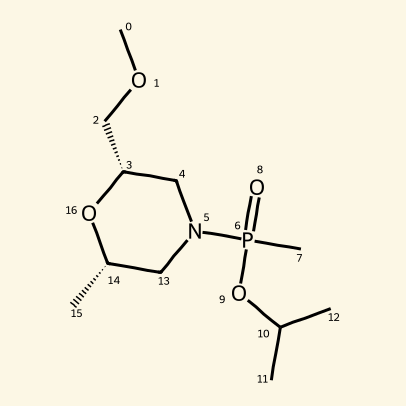 COC[C@@H]1CN(P(C)(=O)OC(C)C)C[C@H](C)O1